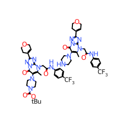 Cc1c(N2CCN(C(=O)OC(C)(C)C)CC2)c(=O)n2nc(C3=CCOCC3)nc2n1CC(=O)Nc1ccc(C(F)(F)F)cc1.Cc1c(N2CCNCC2)c(=O)n2nc(C3=CCOCC3)nc2n1CC(=O)Nc1ccc(C(F)(F)F)cc1